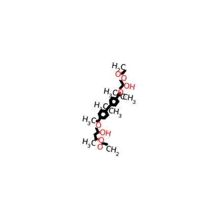 C=CC(=O)OCC(O)COC(C)(CC)c1ccc(C(C)(C)c2ccc(C(C)OCC(O)CC(C)OC(=O)C=C)cc2)cc1